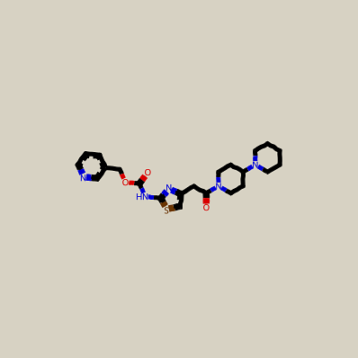 O=C(Nc1nc(CC(=O)N2CCC(N3CCCCC3)CC2)cs1)OCc1cccnc1